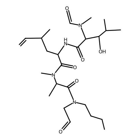 C=CC(C)CC(NC(=O)C(C(O)C(C)C)N(C)C=O)C(=O)N(C)C(C)C(=O)N(CC=O)CCCC